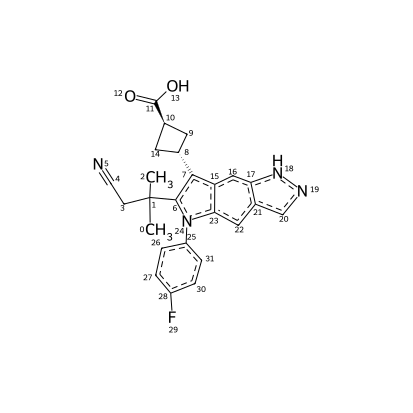 CC(C)(CC#N)c1c([C@H]2C[C@H](C(=O)O)C2)c2cc3[nH]ncc3cc2n1-c1ccc(F)cc1